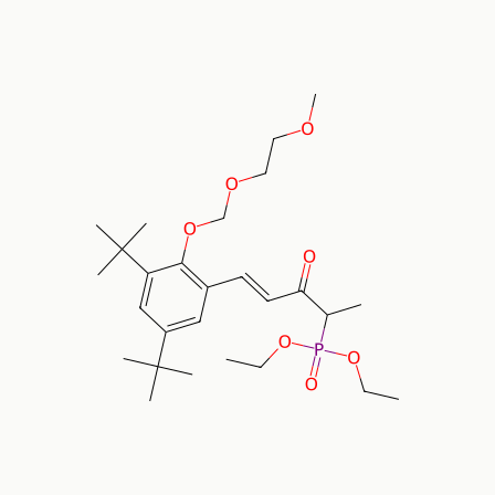 CCOP(=O)(OCC)C(C)C(=O)C=Cc1cc(C(C)(C)C)cc(C(C)(C)C)c1OCOCCOC